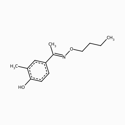 CCCCO/N=C(\C)c1ccc(O)c(C)c1